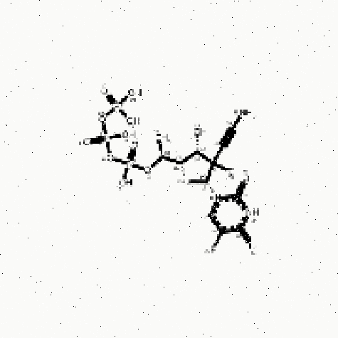 C[C@H](OP(=O)(O)OP(=O)(O)OP(=O)(O)O)[C@H]1O[C@@H](n2cc(F)c(=O)[nH]c2=O)C(Cl)(C#CN)[C@H]1O